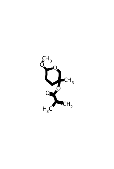 C=C(C)C(=O)OC1(C)CCC(OC)OC1